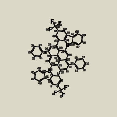 FC(F)(F)c1cc2c3c(c1)-c1cc(-c4ccccc4)c4cc5c6c(cc(-c7ccccc7)c7cc(c1c4c76)B3c1ccccc1-2)-c1cc(C(F)(F)F)cc2c1B5c1ccccc1-2